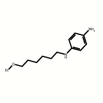 CCOCCCCCCNc1ccc(N)cc1